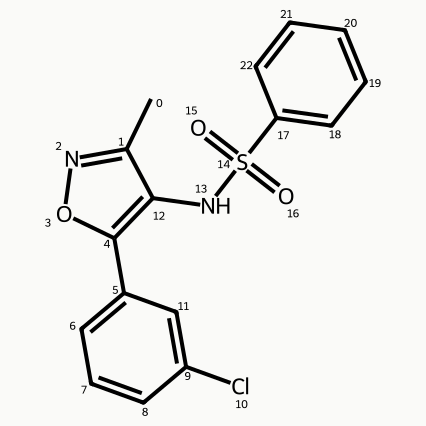 Cc1noc(-c2cccc(Cl)c2)c1NS(=O)(=O)c1ccccc1